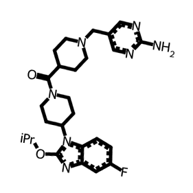 CC(C)Oc1nc2cc(F)ccc2n1C1CCN(C(=O)C2CCN(Cc3cnc(N)nc3)CC2)CC1